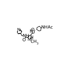 CC(=O)N[C@H]1CC[C@H](C2CC(c3cc(C(=O)NCc4ccncc4)nc(C)n3)=NO2)CC1